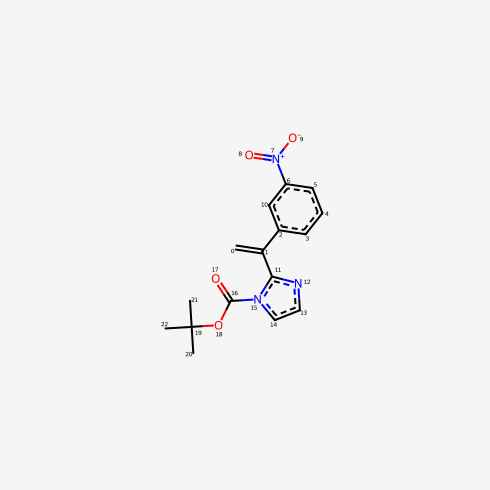 C=C(c1cccc([N+](=O)[O-])c1)c1nccn1C(=O)OC(C)(C)C